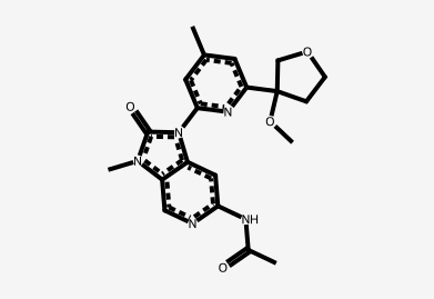 COC1(c2cc(C)cc(-n3c(=O)n(C)c4cnc(NC(C)=O)cc43)n2)CCOC1